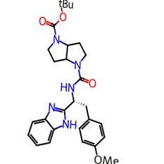 COc1ccc(C[C@@H](NC(=O)N2CCC3C2CCN3C(=O)OC(C)(C)C)c2nc3ccccc3[nH]2)cc1